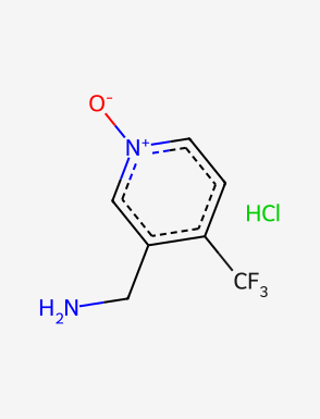 Cl.NCc1c[n+]([O-])ccc1C(F)(F)F